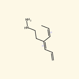 C=C/C=C(\C=C/C)CCNN